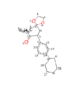 COC(=O)C(CC1(C)OCCO1)c1ccc(C2CCCCC2)cc1